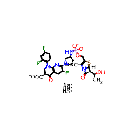 C[C@H](O)[C@H]1C(=O)N2C(C(=O)[O-])=C(COP(=O)([O-])NC3CCN(c4nc5c(cc4F)c(=O)c(C(=O)[O-])cn5-c4ccc(F)cc4F)C3)S[C@@H]12.[Na+].[Na+].[Na+]